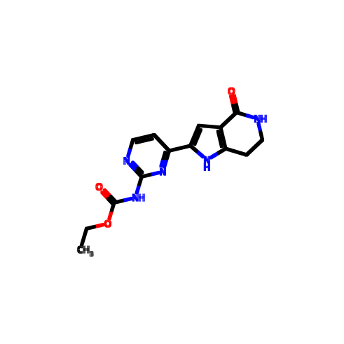 CCOC(=O)Nc1nccc(-c2cc3c([nH]2)CCNC3=O)n1